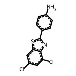 Nc1ccc(-c2nc3c(Cl)cc(Cl)cc3s2)cc1